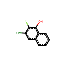 Oc1c(F)c(Cl)cc2ccccc12